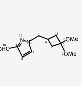 COC1(OC)CC(Cn2ccc(C=O)n2)C1